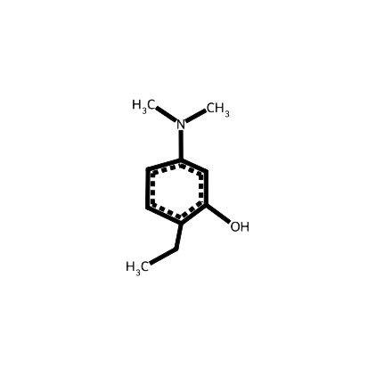 CCc1ccc(N(C)C)cc1O